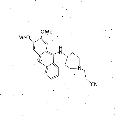 COc1cc2nc3ccccc3c(NC3CCN(CCC#N)CC3)c2cc1OC